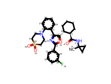 N#CC1(NC(=O)[C@@H]2CCCC[C@H]2c2oc(-c3cccc(F)c3)nc2-c2ccccc2N2CCS(=O)(=O)CC2)CC1